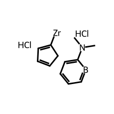 CN(C)c1bcccc1.Cl.Cl.[Zr][C]1=CC=CC1